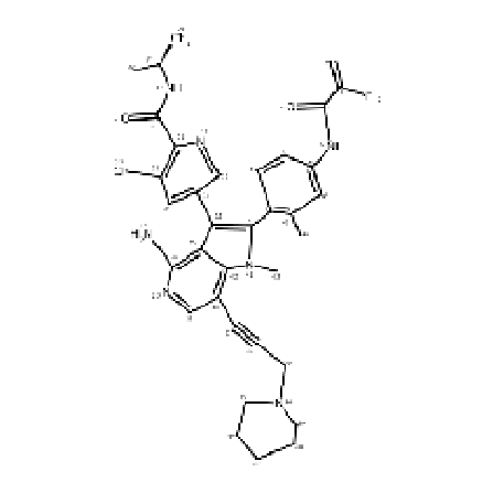 C=C(F)C(=O)Nc1ccc(-c2c(-c3cnc(C(=O)N[C@@H](C)C(F)(F)F)c(Cl)c3)c3c(N)ncc(C#CCN4CCCCC4)c3n2C)c(C)c1